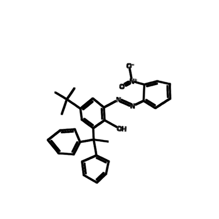 CC(C)(C)c1cc(N=Nc2ccccc2[N+](=O)[O-])c(O)c(C(C)(c2ccccc2)c2ccccc2)c1